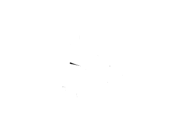 [CH2][C@H]1OC2(CCCC2)O[C@@H]1c1c(Cl)cccc1Cl